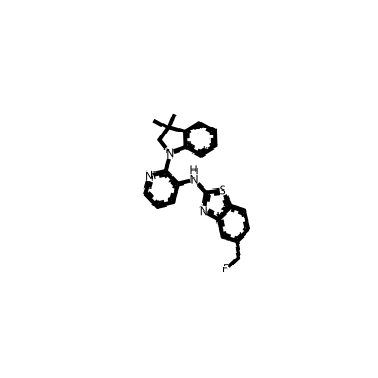 CC1(C)CN(c2ncccc2Nc2nc3cc(CF)ccc3s2)c2ccccc21